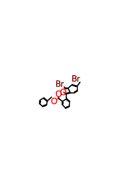 O=C(OCc1ccccc1)c1ccccc1-c1oc(Br)c2cc(CBr)ccc12